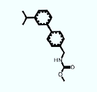 COC(=O)NCc1ccc(-c2cccc(C(C)C)c2)cc1